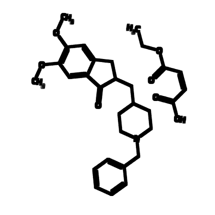 CCOC(=O)/C=C\C(=O)O.COc1cc2c(cc1OC)C(=O)C(CC1CCN(Cc3ccccc3)CC1)C2